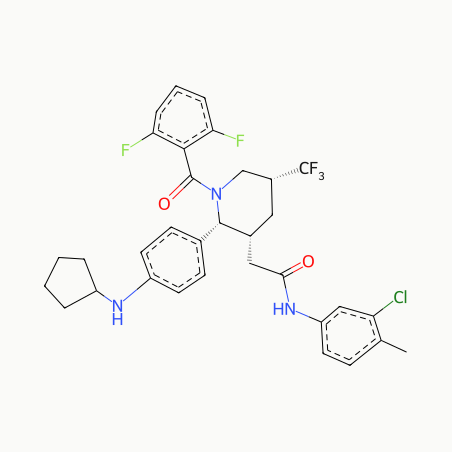 Cc1ccc(NC(=O)C[C@H]2C[C@@H](C(F)(F)F)CN(C(=O)c3c(F)cccc3F)[C@H]2c2ccc(NC3CCCC3)cc2)cc1Cl